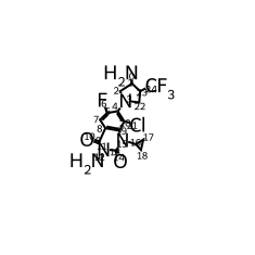 NC1CN(c2c(F)cc3c(=O)n(N)c(=O)n(C4CC4)c3c2Cl)CC1C(F)(F)F